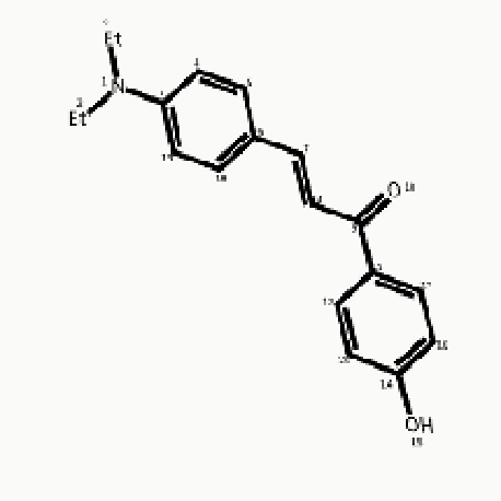 CCN(CC)c1ccc(C=CC(=O)c2ccc(O)cc2)cc1